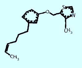 C/C=C\CCCc1cccc(OCc2scnc2C)c1